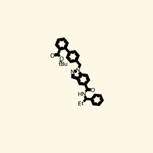 CCC(NC(=O)c1ccc2c(cnn2Cc2ccc(-c3ccccc3C(=O)OC(C)(C)C)cc2)c1)c1ccccc1